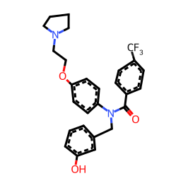 O=C(c1ccc(C(F)(F)F)cc1)N(Cc1cccc(O)c1)c1ccc(OCCN2CCCC2)cc1